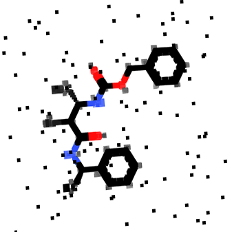 C[C@@H](NC(=O)C([C@@H](NC(=O)OCc1ccccc1)C(=O)O)C(C)(C)C)c1ccccc1